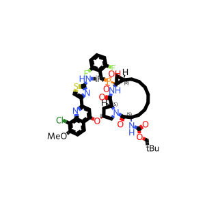 COc1ccc2c(O[C@@H]3C[C@H]4C(=O)N[C@]5(P(=O)(O)Cc6c(F)cccc6F)C[C@H]5CCCCCCC[C@H](NC(=O)OCC(C)(C)C)C(=O)N4C3)cc(-c3csc(NC(C)C)n3)nc2c1Cl